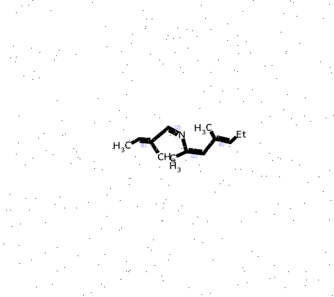 C/C=C(C)/C=N\C(C)=C/C(C)=C/CC